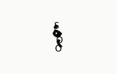 S=C[C@H]1CC2CC1CC2OCC1CO1